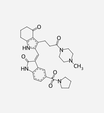 CN1CCN(C(=O)CCc2c(/C=C3\C(=O)Nc4ccc(S(=O)(=O)N5CCCC5)cc43)[nH]c3c2C(=O)CCC3)CC1